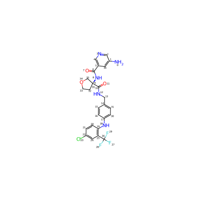 Nc1cncc(C(=O)N[C@@]2(C(=O)NCc3ccc(Nc4ccc(Cl)cc4C(F)(F)F)cc3)CCOC2)c1